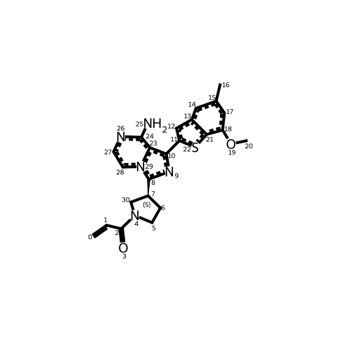 C=CC(=O)N1CC[C@H](c2nc(-c3cc4cc(C)cc(OC)c4s3)c3c(N)nccn23)C1